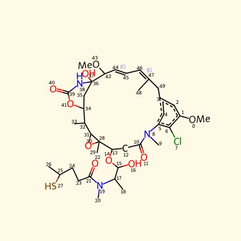 COc1cc2cc(c1Cl)N(C)C(=O)CC(OC(O)C(C)N(C)C(=O)CCC(C)S)C1(C)OC1C(C)C1CC(O)(NC(=O)O1)C(OC)/C=C/C=C(\C)C2